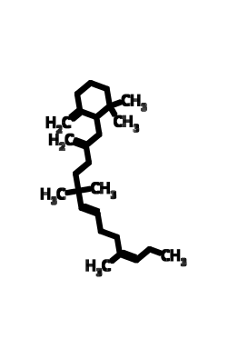 C=C(CCC(C)(C)/C=C/CC/C(C)=C\CC)CC1C(=C)CCCC1(C)C